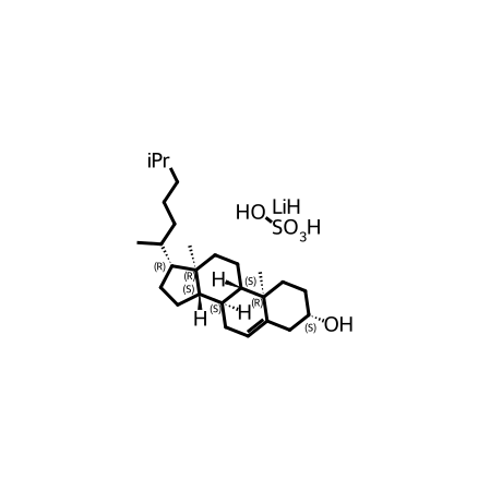 CC(C)CCCC(C)[C@H]1CC[C@H]2[C@@H]3CC=C4C[C@@H](O)CC[C@]4(C)[C@H]3CC[C@]12C.O=S(=O)(O)O.[LiH]